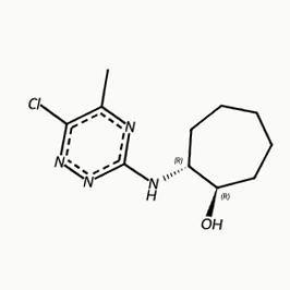 Cc1nc(N[C@@H]2CCCCC[C@H]2O)nnc1Cl